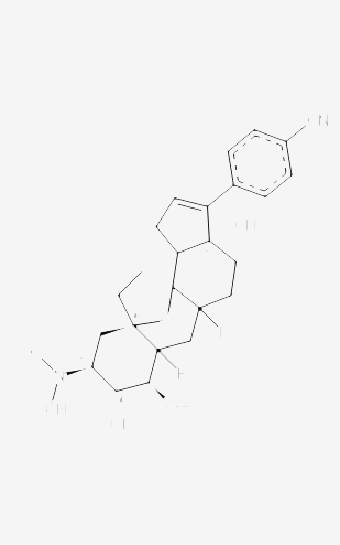 CN(C)[C@H]1C[C@@]23CC[C@]4(O2)C2CC=C(c5ccc(C#N)cc5)[C@@]2(C)CCC4(F)CC3(F)[C@@H](O)[C@@H]1O